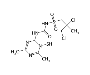 CC1=NC(NC(=O)NS(=O)(=O)CC(C)(Cl)CCl)N(S)C(C)=N1